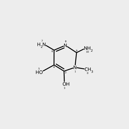 CN1C(O)=C(O)C(N)=NC1N